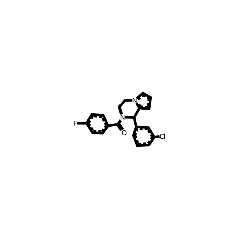 O=C(c1ccc(F)cc1)N1CCn2cccc2C1c1cccc(Cl)c1